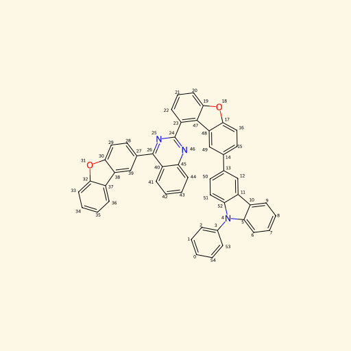 c1ccc(-n2c3ccccc3c3cc(-c4ccc5oc6cccc(-c7nc(-c8ccc9oc%10ccccc%10c9c8)c8ccccc8n7)c6c5c4)ccc32)cc1